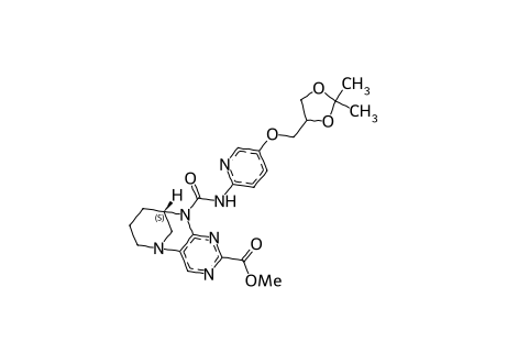 COC(=O)c1ncc2c(n1)N(C(=O)Nc1ccc(OCC3COC(C)(C)O3)cn1)[C@H]1CCCN2C1